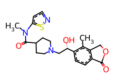 Cc1c([C@@H](O)CN2CCC(C(=O)N(C)c3ccns3)CC2)ccc2c1COC2=O